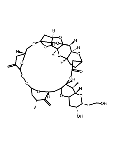 C=C1C[C@@H]2CC[C@@]34C[C@H]5OC6[C@@H](O[C@H]7CCC(CC(=O)O[C@H]8C(C[C@H]9OC(CCC1O2)C[C@@H](C)C9=C)OC1C[C@@H](O)[C@@H](CCO)O[C@H]1[C@@H]8C)O[C@@H]7[C@@H]6O3)[C@H]5O4